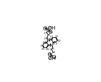 O=S(=O)(O)CCCN1c2ccccc2N(CCCS(=O)(=O)O)c2ccccc21